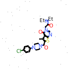 CCN(CC)C(=O)Cn1cnc2sc(C(=O)N3CCN(c4ccc(Cl)cc4)CC3)c(C)c2c1=O